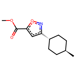 COC(=O)c1cc([C@H]2CC[C@H](C)CC2)no1